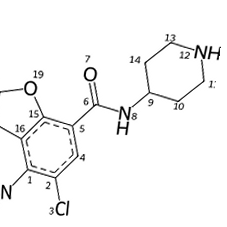 Nc1c(Cl)cc(C(=O)NC2CCNCC2)c2c1CCO2